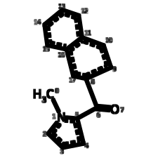 Cn1cccc1C(=O)c1ccc2ccccc2c1